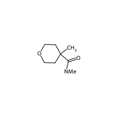 CNC(=O)C1(C)CCOCC1